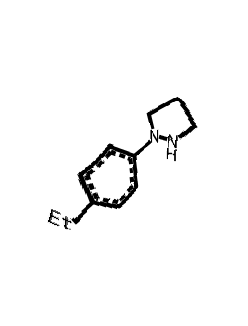 CCc1ccc(N2CCCN2)cc1